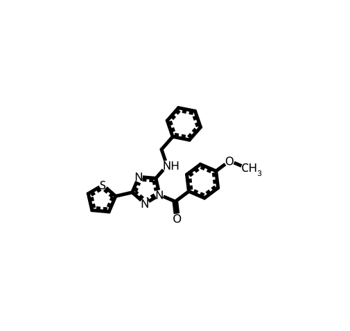 COc1ccc(C(=O)n2nc(-c3cccs3)nc2NCc2ccccc2)cc1